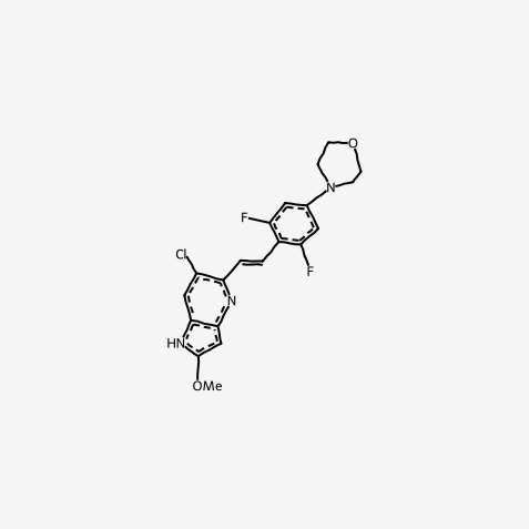 COc1cc2nc(C=Cc3c(F)cc(N4CCOCC4)cc3F)c(Cl)cc2[nH]1